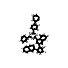 c1ccc(-c2ccc(-c3nc(-c4ccccc4)nc(-c4cc5c(oc6cccc(-c7ccc8ccccc8c7)c65)c5ccccc45)n3)cc2)cc1